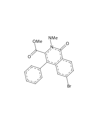 CNn1c(C(=O)OC)c(-c2ccccc2)c2cc(Br)ccc2c1=O